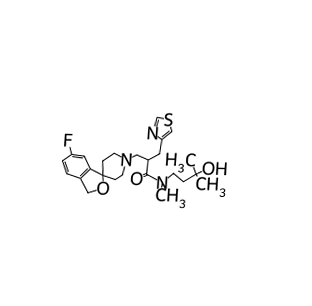 CN(CCC(C)(C)O)C(=O)C(Cc1cscn1)CN1CCC2(CC1)OCc1ccc(F)cc12